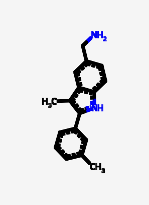 Cc1cccc(-c2[nH]c3ccc(CN)cc3c2C)c1